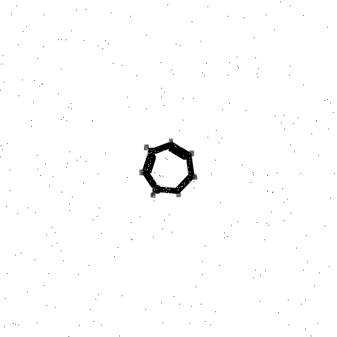 [C]1=CN=COCC1